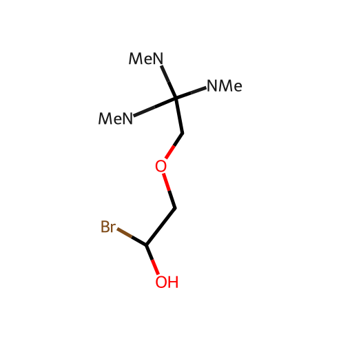 CNC(COCC(O)Br)(NC)NC